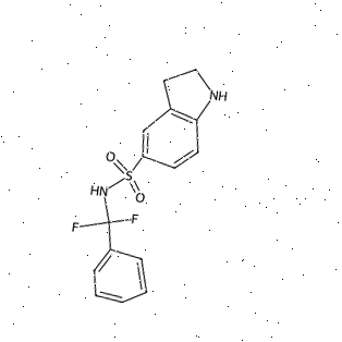 O=S(=O)(NC(F)(F)c1ccccc1)c1ccc2c(c1)CCN2